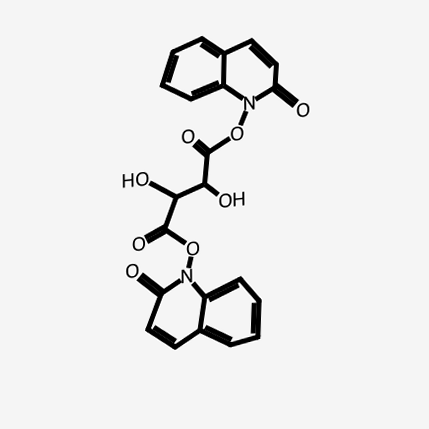 O=C(On1c(=O)ccc2ccccc21)C(O)C(O)C(=O)On1c(=O)ccc2ccccc21